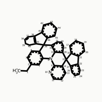 CCc1ccc2c(c1)N1c3ncccc3C3(c4ccccc4-c4ccccc43)c3cccc(c31)C21C2=C(C=CCC2)c2ccccc21